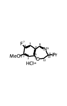 COc1cc2c(cc1F)C=NC(C(C)C)CO2.Cl